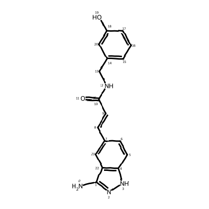 Nc1n[nH]c2ccc(C=CC(=O)NCc3cccc(O)c3)cc12